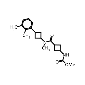 COC(=O)NC1CC(C(=O)N(C)C2CC(c3cccc(C)c3C)C2)C1